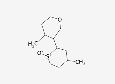 CC1CC[S+]([O-])C(C2COCCC2C)C1